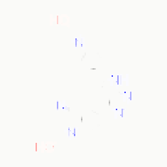 N#Cc1cc(-c2ncnc3[nH]c(-c4ccc(N5CC(O)C5)cc4)cc23)ccc1N1CC(O)C1